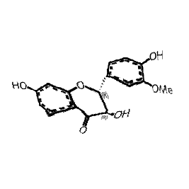 COc1cc([C@H]2Oc3cc(O)ccc3C(=O)[C@@H]2O)ccc1O